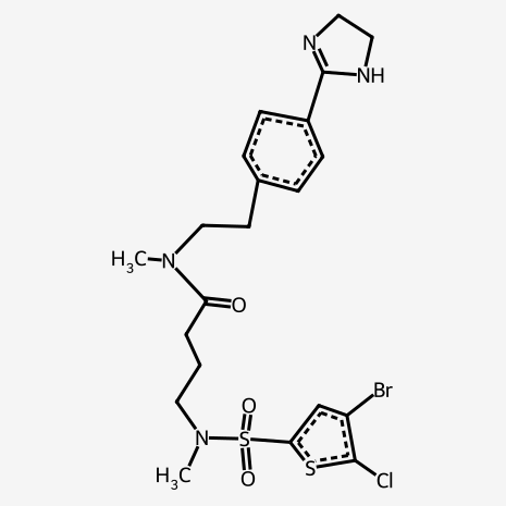 CN(CCc1ccc(C2=NCCN2)cc1)C(=O)CCCN(C)S(=O)(=O)c1cc(Br)c(Cl)s1